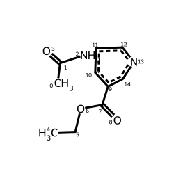 CC(N)=O.CCOC(=O)c1cccnc1